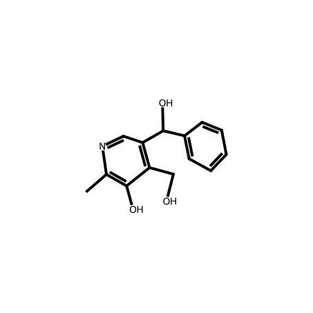 Cc1ncc(C(O)c2ccccc2)c(CO)c1O